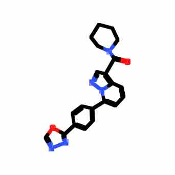 O=C(c1cnn2c(-c3ccc(-c4nnco4)cc3)cccc12)N1CCCCC1